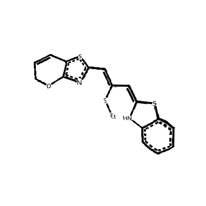 CCSC(=Cc1nc2c(s1)C=CCO2)C=C1Nc2ccccc2S1